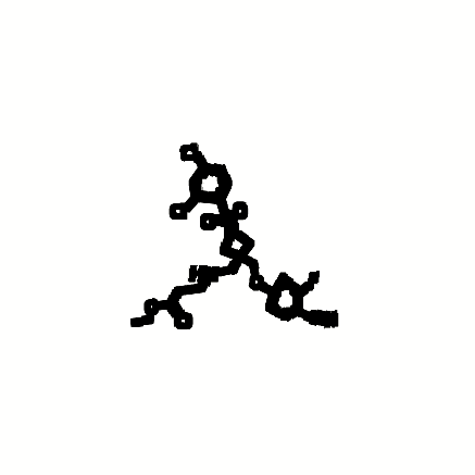 CCOC(=O)CCNCC1(COc2ccc(C#N)c(F)c2)CN(S(=O)(=O)c2ccc(Cl)cc2Cl)C1